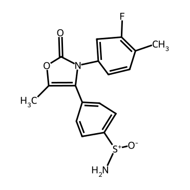 Cc1ccc(-n2c(-c3ccc([S+](N)[O-])cc3)c(C)oc2=O)cc1F